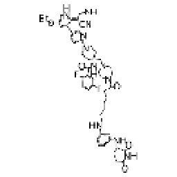 CCOC1=CN/C(=C(/C#N)C=N)C(c2ccc(N3CCC(CN4CCN(C(=O)CCCCCCNc5cccc(NC6CCC(=O)NC6=O)c5)CC4)(NC(=O)c4cc(F)ccc4F)CC3)nc2)=C1